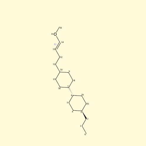 CCC[C@H]1CC[C@H](C2CCC(CC/C=C/OC)CC2)CC1